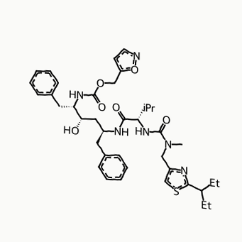 CCC(CC)c1nc(CN(C)C(=O)N[C@H](C(=O)N[C@@H](Cc2ccccc2)C[C@H](O)[C@H](Cc2ccccc2)NC(=O)OCc2ccno2)C(C)C)cs1